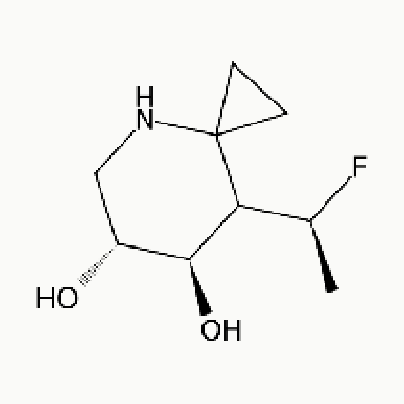 C[C@H](F)C1[C@@H](O)[C@H](O)CNC12CC2